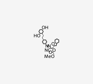 COCC(=O)OC(=C(C#N)N=Nc1ccc(CCc2cc(O)ccc2O)cc1)c1cc2ccccc2o1